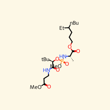 CCCCC(CC)CCCOC(=O)[C@H](C)NP(=O)(OC)O[C@@H](C(=O)NCCC(=O)OC)C(C)(C)C